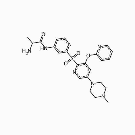 CC(N)C(=O)Nc1ccnc(S(=O)(=O)c2ncc(N3CCN(C)CC3)cc2Oc2ccccn2)c1